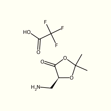 CC1(C)OC(=O)[C@H](CN)O1.O=C(O)C(F)(F)F